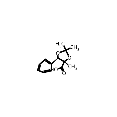 CC1(C)O[C@H](c2ccccc2)[C@@](C)(C(=O)O)O1